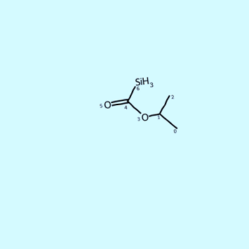 CC(C)OC(=O)[SiH3]